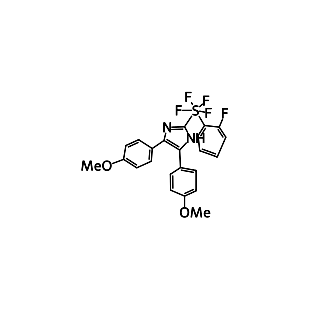 COc1ccc(-c2nc(S(F)(F)(F)(F)c3ccccc3F)[nH]c2-c2ccc(OC)cc2)cc1